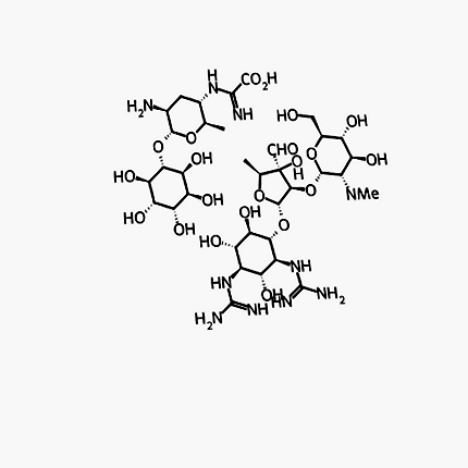 CN[C@@H]1[C@H](O[C@H]2[C@H](O[C@H]3[C@H](O)[C@@H](O)[C@H](NC(=N)N)[C@@H](O)[C@@H]3NC(=N)N)O[C@@H](C)[C@]2(O)C=O)O[C@@H](CO)[C@H](O)[C@H]1O.C[C@H]1O[C@H](O[C@H]2[C@H](O)[C@@H](O)[C@@H](O)[C@H](O)[C@@H]2O)[C@@H](N)C[C@@H]1NC(=N)C(=O)O